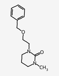 CN1CCCN(CCOCc2ccccc2)C1=O